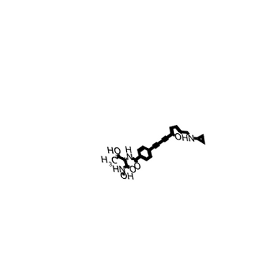 C[C@@H](O)[C@H](NC(=O)c1ccc(C#CC#Cc2ccc(CNC3CC3)o2)cc1)C(=O)NO